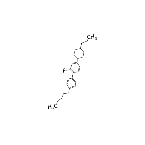 CCCCCc1ccc(-c2ccc([C@H]3CC[C@H](CCC)CC3)cc2F)cc1